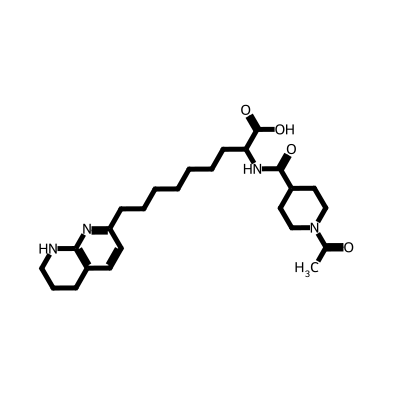 CC(=O)N1CCC(C(=O)NC(CCCCCCCc2ccc3c(n2)NCCC3)C(=O)O)CC1